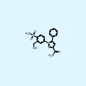 NC(=O)c1cc(-c2ccccc2)n(-c2ccc(S(N)(=O)=O)c(CO)c2)n1